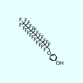 Oc1ccc(OCC(F)(F)C(F)(F)C(F)(F)C(F)(F)C(F)(F)C(F)(F)C(F)(F)C(F)(F)C(F)(F)C(F)(F)C(F)(F)F)cc1